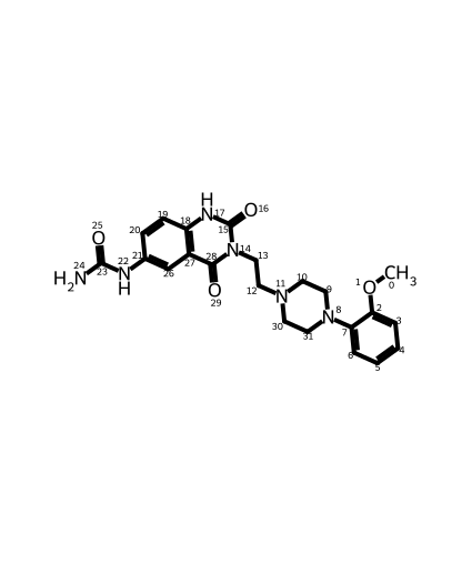 COc1ccccc1N1CCN(CCn2c(=O)[nH]c3ccc(NC(N)=O)cc3c2=O)CC1